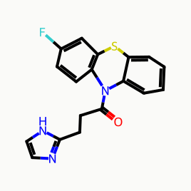 O=C(CCc1ncc[nH]1)N1c2ccccc2Sc2cc(F)ccc21